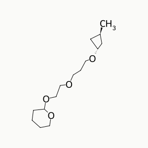 C[C@H]1C[C@H](OCCCOCCOC2CCCCO2)C1